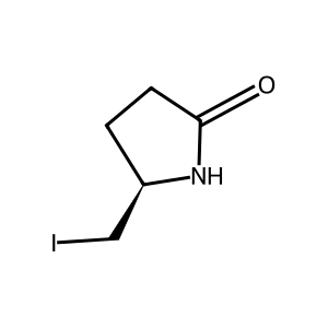 O=C1CC[C@H](CI)N1